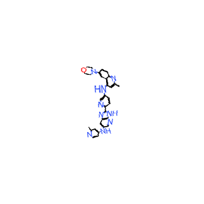 Cc1cc(Nc2cnc3[nH]c(-c4ccc(Nc5cc(C)nc6ccc(N7CCOCC7)cc56)cn4)nc3c2)ccn1